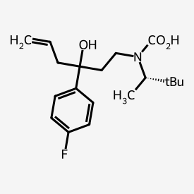 C=CCC(O)(CCN(C(=O)O)[C@@H](C)C(C)(C)C)c1ccc(F)cc1